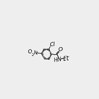 CCNC(=O)c1ccc([N+](=O)[O-])cc1Cl